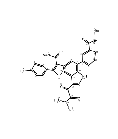 CNC(=O)c1c(-c2ccc(C)cc2)oc2c1cc(-c1cccc(C(=O)NC(C)(C)C)c1)c1[nH]cc(C(=O)C(=O)N(C)C)c12